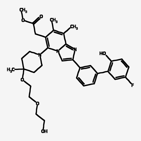 COC(=O)Cc1c(C)c(C)c2nc(-c3cccc(-c4cc(F)ccc4O)c3)cn2c1N1CCC(C)(OCCOCCO)CC1